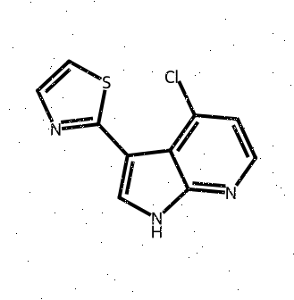 Clc1ccnc2[nH]cc(-c3nccs3)c12